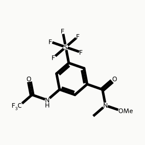 CON(C)C(=O)c1cc(NC(=O)C(F)(F)F)cc(S(F)(F)(F)(F)F)c1